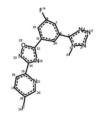 Cn1nnnc1-c1cc(F)cc(-c2nc(-c3ccc(F)cn3)no2)c1